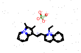 CC[n+]1c(/C=C/c2c(C)c(C)n3ccccc23)ccc2ccccc21.[O-][Cl+3]([O-])([O-])[O-]